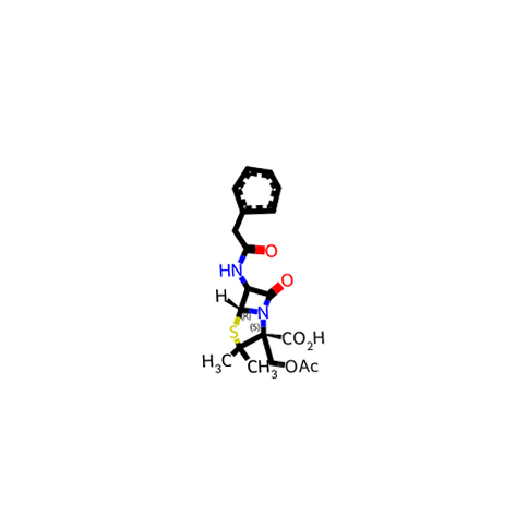 CC(=O)OC[C@@]1(C(=O)O)N2C(=O)C(NC(=O)Cc3ccccc3)[C@H]2SC1(C)C